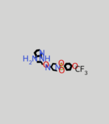 C=C(CON=C1CCN(S(=O)(=O)c2ccc(OC(F)(F)F)cc2)CC1)Nc1ncccc1N